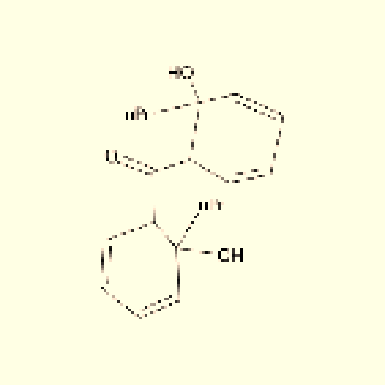 CCCC1(O)C=CC=CC1C(=O)C1C=CC=CC1(O)CCC